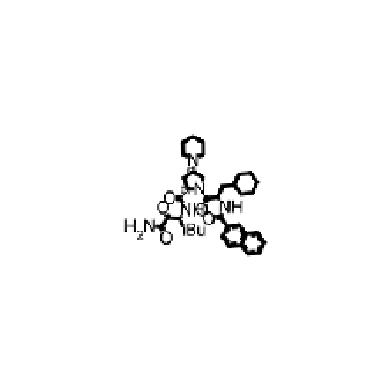 CCC(C)C(NC(=O)[C@@H]1C[C@@H](N2CCCCC2)CN1C(=O)C(CC1CCCCC1)NC(=O)c1ccc2ccccc2c1)C(=O)C(N)=O